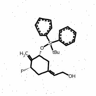 C=C1[C@@H](F)CC(=CCO)C[C@H]1O[Si](c1ccccc1)(c1ccccc1)C(C)(C)C